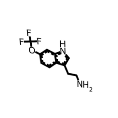 NCCc1c[nH]c2cc(OC(F)(F)F)ccc12